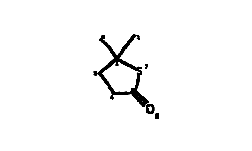 CC1(C)CCC(=O)S1